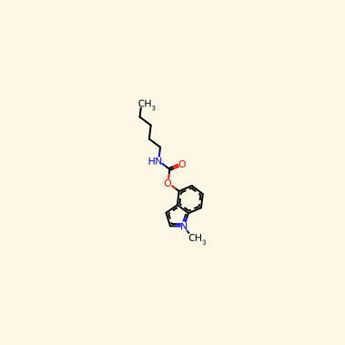 CCCCCNC(=O)Oc1cccc2c1ccn2C